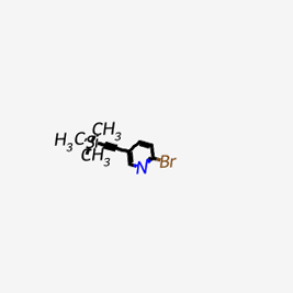 C[Si](C)(C)C#Cc1ccc(Br)nc1